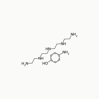 NCCNCCNCCNCCN.Nc1ccc(O)cc1